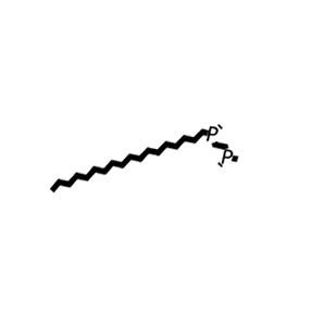 CCCCCCCCCCCCCCCCCCP(C)CCP(C)C